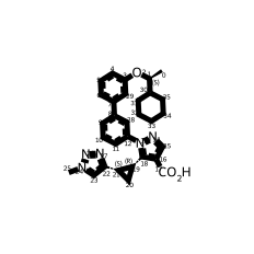 C[C@H](Oc1cccc(-c2cccc(-n3ncc(C(=O)O)c3[C@@H]3C[C@@H]3c3cn(C)nn3)c2)c1)C1CCCCC1